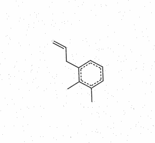 [CH]=CCc1cccc(C)c1C